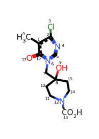 Cc1c(Cl)ncn(CC2(O)CCN(C(=O)O)CC2)c1=O